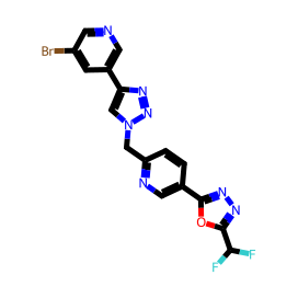 FC(F)c1nnc(-c2ccc(Cn3cc(-c4cncc(Br)c4)nn3)nc2)o1